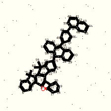 CC1(C)c2ccccc2-c2c1c1c(c3c2oc2ccccc23)-c2ccc(-c3c4ccccc4c(-c4ccc(-c5cccc6ccccc56)cc4)c4ccccc34)cc2C1(C)C